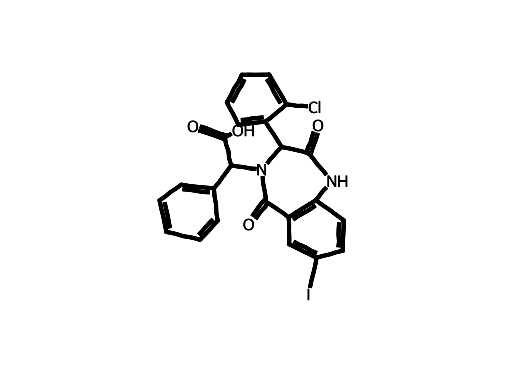 O=C(O)C(c1ccccc1)N1C(=O)c2cc(I)ccc2NC(=O)C1c1ccccc1Cl